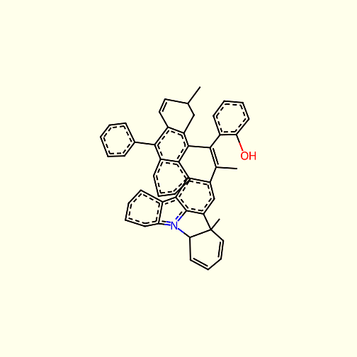 C/C(=C(\c1ccccc1O)c1c2c(c(-c3ccccc3)c3ccccc13)C=CC(C)C2)c1cc2c3c(c1)c1ccccc1n3C1C=CC=CC21C